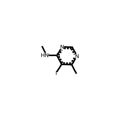 CNc1ncnc(C)c1I